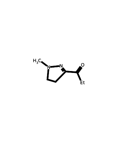 CCC(=O)C1=NN(C)CC1